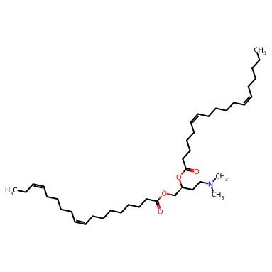 CC/C=C\CCCC/C=C\CCCCCCCC(=O)OC[C@H](CCN(C)C)OC(=O)CCCC/C=C\CCCC/C=C\CCCCC